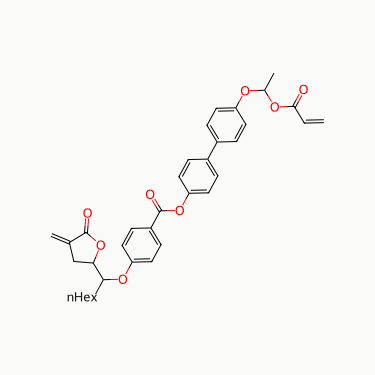 C=CC(=O)OC(C)Oc1ccc(-c2ccc(OC(=O)c3ccc(OC(CCCCCC)C4CC(=C)C(=O)O4)cc3)cc2)cc1